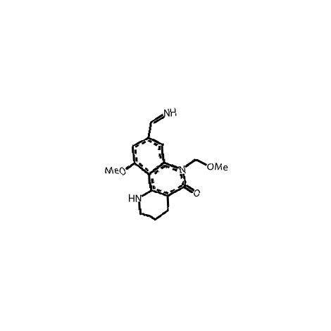 COCn1c(=O)c2c(c3c(OC)cc(C=N)cc31)NCCC2